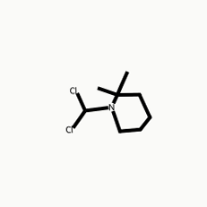 CC1(C)CCCCN1C(Cl)Cl